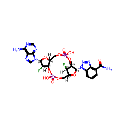 NC(=O)c1cccc2c1nnn2[C@@H]1O[C@@H]2COP(=O)(O)O[C@H]3[C@@H](F)[C@H](n4cnc5c(N)ncnc54)O[C@@H]3COP(=O)(O)O[C@@H]1[C@@H]2F